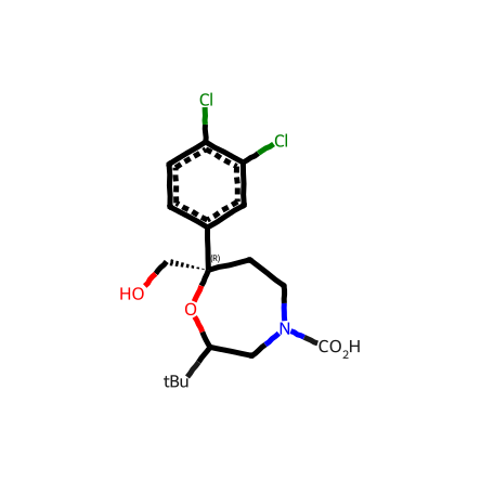 CC(C)(C)C1CN(C(=O)O)CC[C@](CO)(c2ccc(Cl)c(Cl)c2)O1